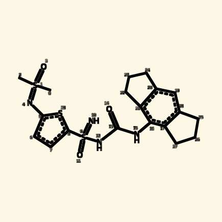 CS(C)(=O)=Nc1ccc(S(=N)(=O)NC(=O)Nc2c3c(cc4c2CCC4)CCC3)s1